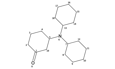 O=C1CCCC(N(C2CCCCC2)C2CCCCC2)C1